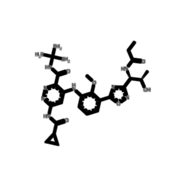 BC(B)(B)NC(=O)c1nnc(NC(=O)C2CC2)cc1Nc1cccc(-c2nc([C@@H](NC(=O)CC)[C@@H](C)O)no2)c1OC